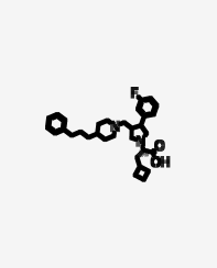 O=C(O)[C@@H](CC1CCC1)N1CC(CN2CCC(CCCc3ccccc3)CC2)C(c2cccc(F)c2)C1